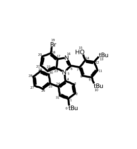 CC(C)(C)c1ccc(-n2c(-c3cc(C(C)(C)C)cc(C(C)(C)C)c3O)nc3c(Br)cccc32)c(-c2ccccc2)c1